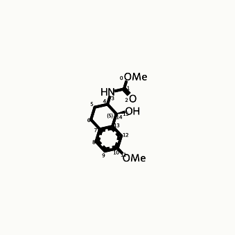 COC(=O)NC1CCc2ccc(OC)cc2[C@@H]1O